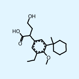 CCc1cc(C(CCO)C(=O)O)cc(C2(C)CCCCC2)c1OC